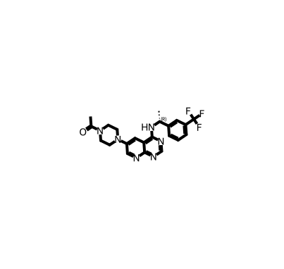 CC(=O)N1CCN(c2cnc3ncnc(N[C@H](C)c4cccc(C(F)(F)F)c4)c3c2)CC1